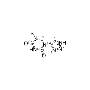 Cc1cn(-c2c[nH]nn2)c(=O)[nH]c1=O